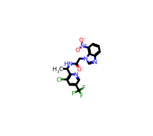 CC(NC(=O)Cn1cnc2cccc([N+](=O)[O-])c21)c1ncc(C(F)(F)F)cc1Cl